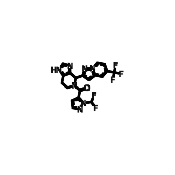 O=C(c1ccnn1C(F)F)N1CCc2[nH]cnc2C1c1cc2cc(C(F)(F)F)ccn2n1